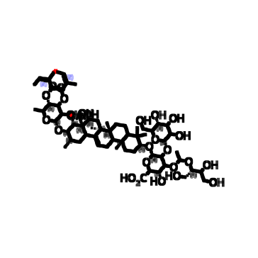 C/C=C(/C)C(=O)OC1C(O)[C@H](O[C@@H]2[C@H](C)CC3C4=CCC5[C@@]6(C)CC[C@H](O[C@@H]7OC(C(=O)O)[C@@H](O)C(OC(C)O[C@@H](CO)C(O)CO)C7O[C@@H]7OC(CO)[C@H](O)C(O)C7O)C(C)(C)C6CC[C@@]5(C)[C@]4(C)C[C@@H](O)[C@@]3(CO)[C@H]2OC(C)=O)OC(C)[C@@H]1OC(=O)/C(C)=C\C